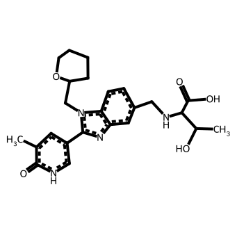 Cc1cc(-c2nc3cc(CNC(C(=O)O)C(C)O)ccc3n2CC2CCCCO2)c[nH]c1=O